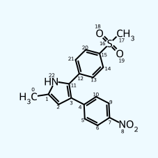 Cc1cc(-c2ccc([N+](=O)[O-])cc2)c(-c2ccc(S(C)(=O)=O)cc2)[nH]1